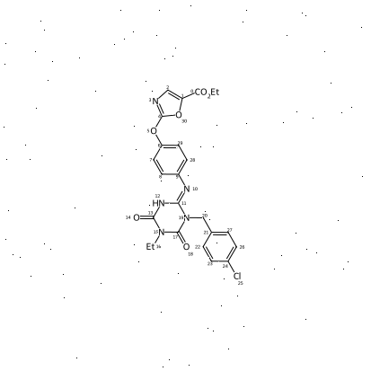 CCOC(=O)c1cnc(Oc2ccc(/N=c3\[nH]c(=O)n(CC)c(=O)n3Cc3ccc(Cl)cc3)cc2)o1